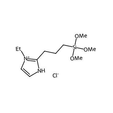 CC[n+]1cc[nH]c1CCC[Si](OC)(OC)OC.[Cl-]